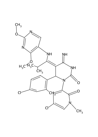 COc1ncc(N/C(=C2\C(=N)NC(=O)N(c3cc(Cl)cn(C)c3=O)C2c2ccc(Cl)cc2C)C(C)C)c(OC)n1